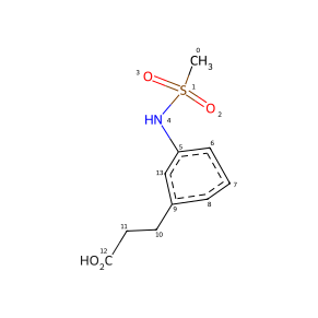 CS(=O)(=O)Nc1cccc(CCC(=O)O)c1